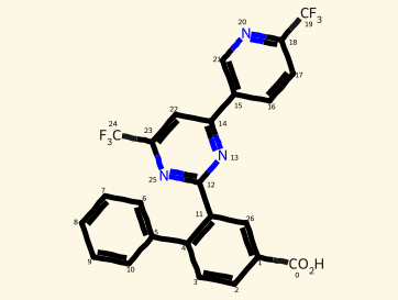 O=C(O)c1ccc(-c2ccccc2)c(-c2nc(-c3ccc(C(F)(F)F)nc3)cc(C(F)(F)F)n2)c1